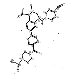 CC(=O)N1c2ccc(-c3ccc(C(=O)N4CCN(C(=O)O)CC4)nc3)cc2[C@H](Nc2ccc(C#N)cn2)C[C@@H]1C